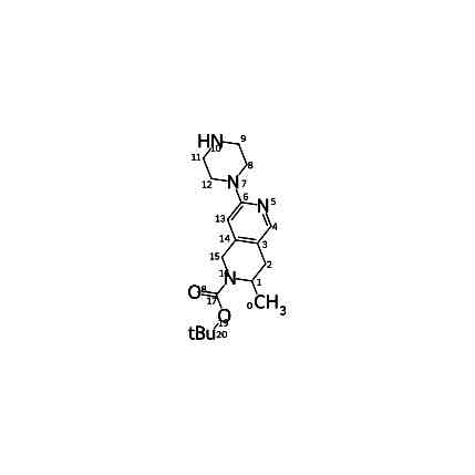 CC1Cc2cnc(N3CCNCC3)cc2CN1C(=O)OC(C)(C)C